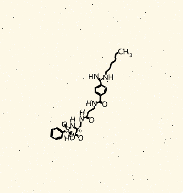 CCCCCCNC(=N)c1ccc(C(=O)NCCC(=O)NC[C@H](NS(=O)(=O)c2ccccc2)C(=O)O)cc1